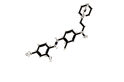 CCN(CC[N+]12CCN(CC1)CC2)c1ccc(/N=N/c2ccc([N+](=O)[O-])cc2Cl)c(C)c1